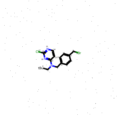 CC(C)(C)CN(Cc1ccc(CBr)cc1)c1ccnc(Cl)n1